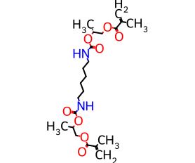 C=C(C)C(=O)OCC(C)OC(=O)NCCCCCCNC(=O)O[C@H](C)COC(=O)C(=C)C